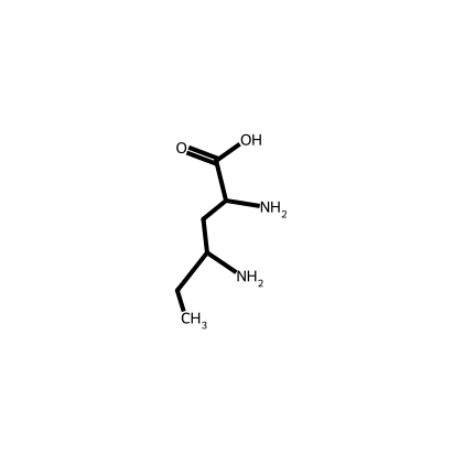 CCC(N)CC(N)C(=O)O